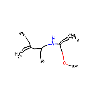 C=C(NC(C(=C)C(C)C)C(C)C)OC(C)(C)C